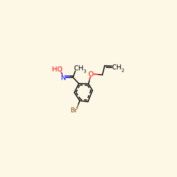 C=CCOc1ccc(Br)cc1C(C)=NO